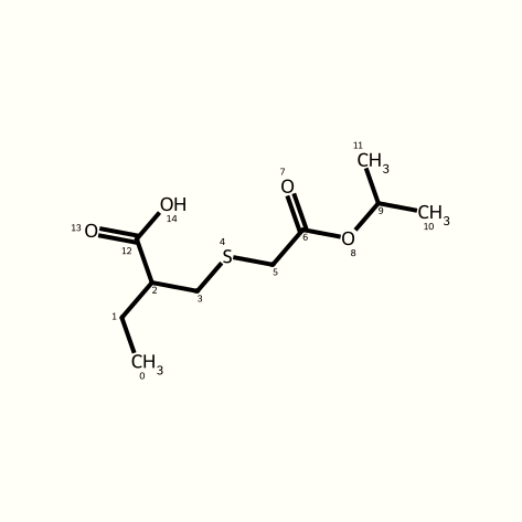 CCC(CSCC(=O)OC(C)C)C(=O)O